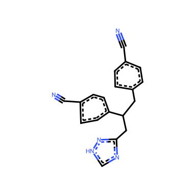 N#Cc1ccc(CC(Cc2nc[nH]n2)c2ccc(C#N)cc2)cc1